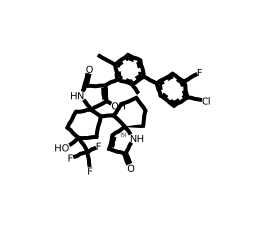 Cc1ccc(-c2ccc(Cl)c(F)c2)c(C)c1C1=C(O)C2(CCC(O)(C(F)(F)F)CC2C2CCCC[C@@]23C=CC(=O)N3)NC1=O